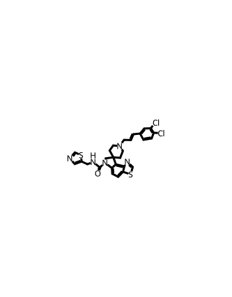 O=C(NCc1cncs1)N1CC2(CCN(C/C=C/c3ccc(Cl)c(Cl)c3)CC2)c2c1ccc1scnc21